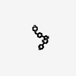 c1cc(-c2ccn3ncc(-c4ccc(CN5CCOCC5)cc4)c3n2)ccn1